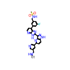 CCNCc1cncc(-c2ccc3[nH]nc(-c4nc5c(-c6cc(F)cc(CNS(C)(=O)=O)c6)ccnc5[nH]4)c3n2)c1